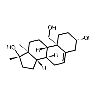 C[C@]1(O)CC[C@H]2[C@@H]3CC=C4C[C@@H](O)CC[C@]4(CO)[C@H]3CC[C@@]21C